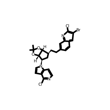 CC1(C)O[C@@H]2[C@@H](CCc3ccc4cc(Br)c(Cl)nc4c3)C[C@@H](n3ccc4c(Cl)nccc43)[C@@H]2O1